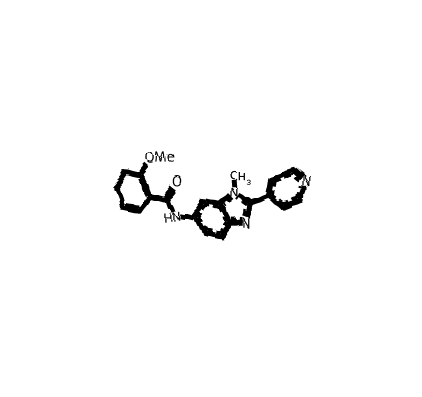 COC1=C(C(=O)Nc2ccc3nc(-c4ccncc4)n(C)c3c2)C=CCC1